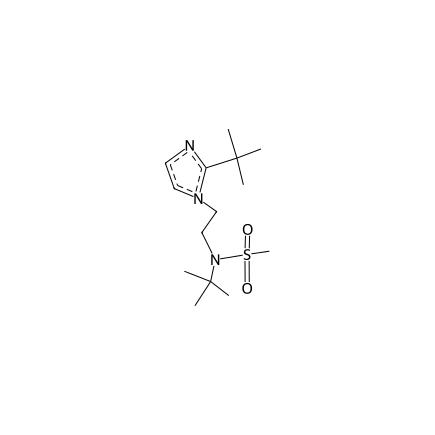 CC(C)(C)c1nccn1CCN(C(C)(C)C)S(C)(=O)=O